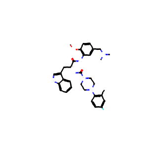 COc1ccc(CN(C)C)cc1NC(=O)[C@H](NC(=O)N1CCN(c2ccc(F)cc2C)CC1)[C@@H](C)c1c[nH]c2ccccc12